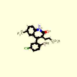 COc1ccc(Cl)cc1-c1c(C=CC(=O)O)c(=O)[nH]c2ccc(C(F)(F)F)cc12